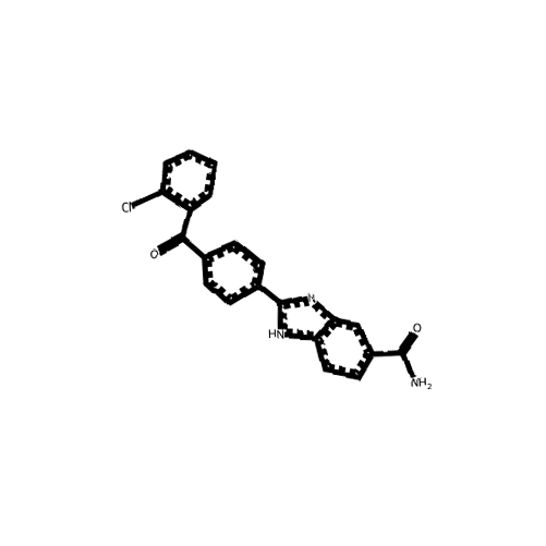 NC(=O)c1ccc2[nH]c(-c3ccc(C(=O)c4ccccc4Cl)cc3)nc2c1